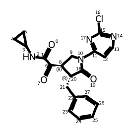 O=C(NC1CC1)C(=O)[C@H]1CN(c2ccnc(Cl)n2)C(=O)[C@@H]1Cc1ccccc1